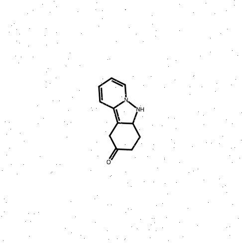 O=C1CCC2NN3C=CC=CC3=C2C1